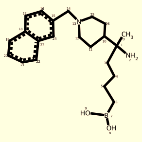 CC(N)(CCCCB(O)O)C1CCN(Cc2ccc3ccccc3c2)CC1